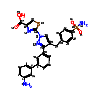 Nc1cccc(-c2cccc(-c3nn(-c4nc(C(=O)O)cs4)cc3Cc3ccc(S(N)(=O)=O)cc3)c2)c1